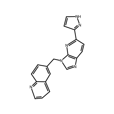 c1cnc2ccc(Cn3cnc4ccc(-c5cc[nH]n5)nc43)cc2c1